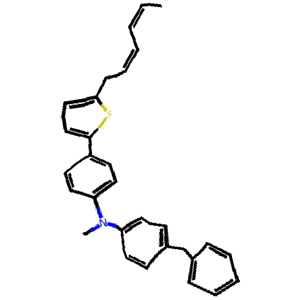 C/C=C\C=C/Cc1ccc(-c2ccc(N(C)c3ccc(-c4ccccc4)cc3)cc2)s1